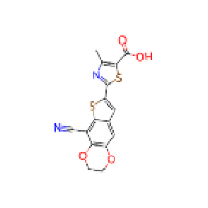 Cc1nc(-c2cc3cc4c(c(C#N)c3s2)OCCO4)sc1C(=O)O